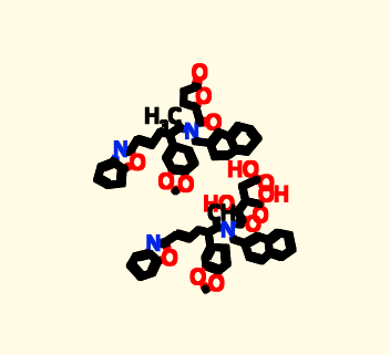 CC(C(CC=Cc1nc2ccccc2o1)c1ccc2c(c1)OCO2)N(Cc1ccc2ccccc2c1)C(=O)C(O)C(CC(=O)O)C(=O)O.CC(C(CC=Cc1nc2ccccc2o1)c1ccc2c(c1)OCO2)N(Cc1ccc2ccccc2c1)C(=O)C1CCC(=O)O1